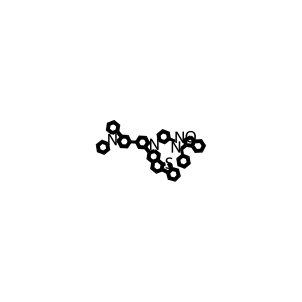 c1ccc(-c2nc(-c3cccc(-n4c5ccc(-c6ccc7c(c6)c6ccccc6n7-c6ccccc6)cc5c5cc6ccc7c8ccccc8sc7c6cc54)c3)nc3oc4ccccc4c23)cc1